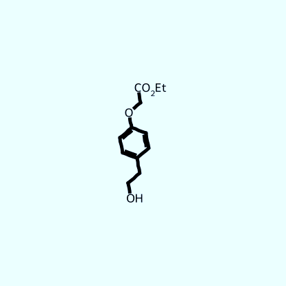 CCOC(=O)COc1ccc(CCO)cc1